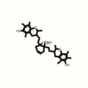 Cc1c(C)c2c(c(C)c1O)CC(CCC1(C(=O)O)CC=CCC1(CCC1Cc3c(C)c(O)c(C)c(C)c3OC1C)C(=O)O)C(C)O2